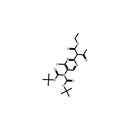 CCOC(=O)C(C(C)=O)c1ncc(N(C(=O)OC(C)(C)C)C(=O)OC(C)(C)C)c(Cl)n1